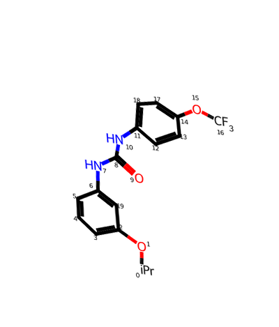 CC(C)Oc1cccc(NC(=O)Nc2ccc(OC(F)(F)F)cc2)c1